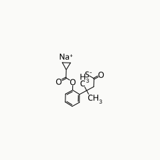 CC(C)(CC(=O)[S-])c1ccccc1OC(=O)C1CC1.[Na+]